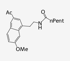 CCCCCC(=O)NCCc1cc(C(C)=O)cc2ccc(OC)cc12